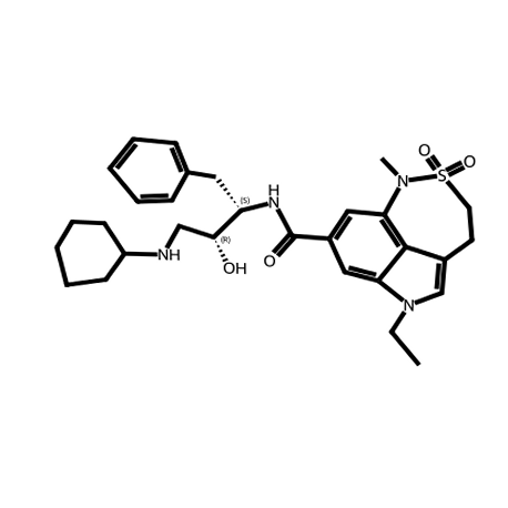 CCn1cc2c3c(cc(C(=O)N[C@@H](Cc4ccccc4)[C@H](O)CNC4CCCCC4)cc31)N(C)S(=O)(=O)CC2